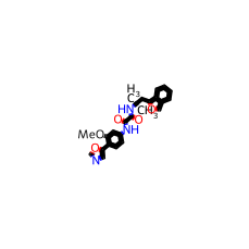 COc1cc(NC(=O)C(=O)NC(C)(C)Cc2occ3ccccc23)ccc1-c1cnco1